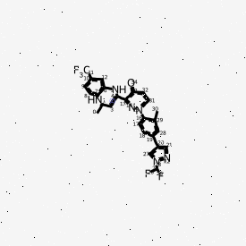 CC(=N)/C=C(\Nc1cccc(C(F)(F)F)c1)c1nn(-c2ccc(-c3cnn(C(F)F)c3)cc2C)ccc1=O